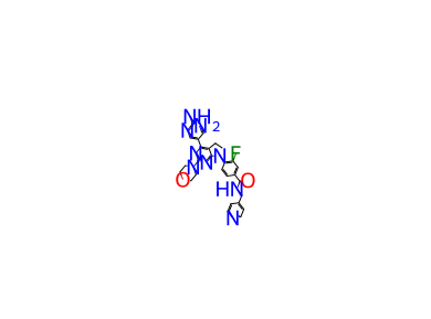 Nc1ncc(-c2nc(N3CCOCC3)nc3c2CCN3c2ccc(C(=O)NCc3ccncc3)cc2F)cn1